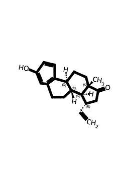 C=C[C@H]1CC(=O)[C@@]2(C)CC[C@@H]3c4ccc(O)cc4CC[C@H]3[C@H]12